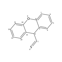 S=CC1c2ccccc2Oc2ccccc21